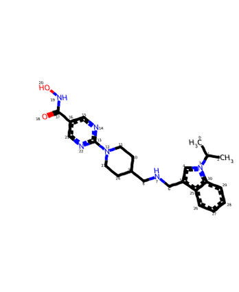 CC(C)n1cc(CNCC2CCN(c3ncc(C(=O)NO)cn3)CC2)c2ccccc21